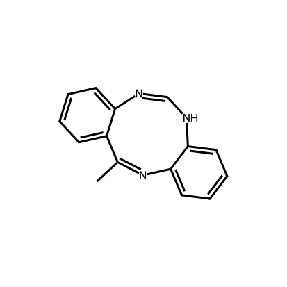 Cc1nc2ccccc2[nH]cnc2ccccc12